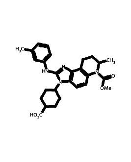 COC(=O)N1c2ccc3c(nc(Nc4cccc(C)c4)n3C3CCC(C(=O)O)CC3)c2CCC1C